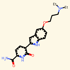 CCN(CC)CCCOc1ccc2[nH]c(-c3c[c]c(C(N)=O)[nH]c3=O)cc2c1